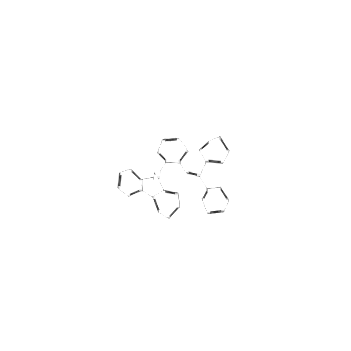 C(=C(c1ccccc1)c1ccccc1)c1ccccc1-n1c2ccccc2c2ccccc21